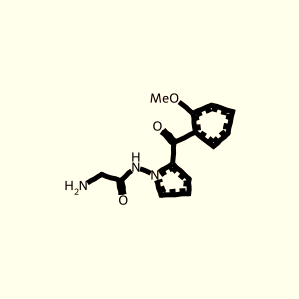 COc1ccccc1C(=O)c1cccn1NC(=O)CN